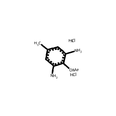 COc1c(N)cc(C)cc1N.Cl.Cl